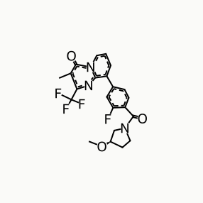 CO[C@@H]1CCN(C(=O)c2ccc(-c3cccn4c(=O)c(C)c(C(F)(F)F)nc34)cc2F)C1